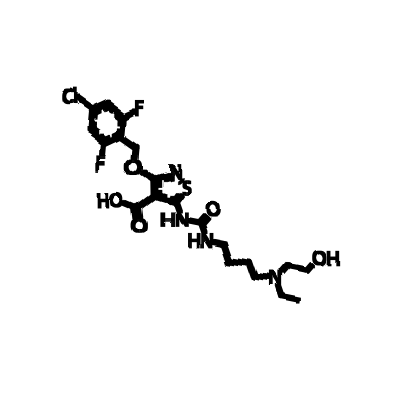 CCN(CCO)CCCCNC(=O)Nc1snc(OCc2c(F)cc(Cl)cc2F)c1C(=O)O